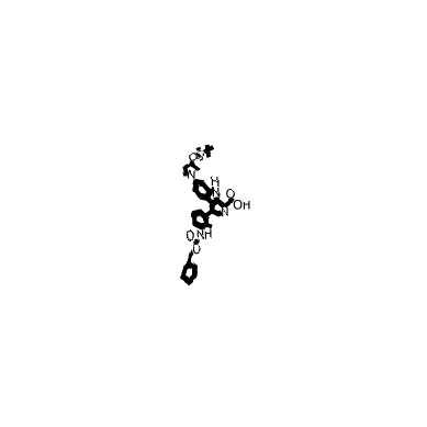 Cc1c(NC(=O)OCc2ccccc2)cccc1-c1cnc(C(=O)O)c2[nH]c3cc(N4CCC(O[Si](C)(C)C(C)(C)C)C4)ccc3c12